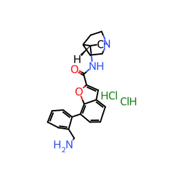 Cl.Cl.NCc1ccccc1-c1cccc2cc(C(=O)N[C@H]3CN4CCC3CC4)oc12